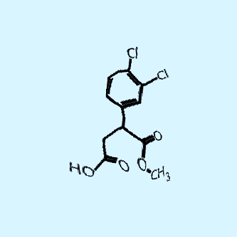 COC(=O)C(CC(=O)O)c1ccc(Cl)c(Cl)c1